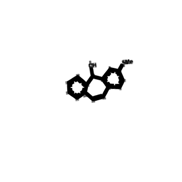 CSc1ccc2c(c1)C(O)c1ccccc1C=C2